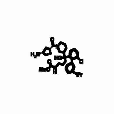 COC(=O)NCCCC(O)(c1cccc(Cl)c1-c1cccc(C(C)C)c1)C1CCCN(C(=O)[C@@H]2CC[C@H](N)C2)C1